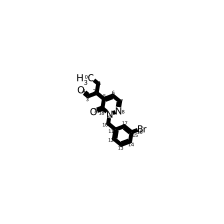 CCC(C=O)c1ccnn(Cc2cccc(Br)c2)c1=O